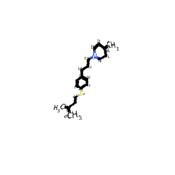 CC(C)CCSc1ccc(CCCN2CCC(C)CC2)cc1